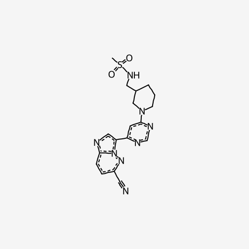 CS(=O)(=O)NCC1CCCN(c2cc(-c3cnc4ccc(C#N)nn34)ncn2)C1